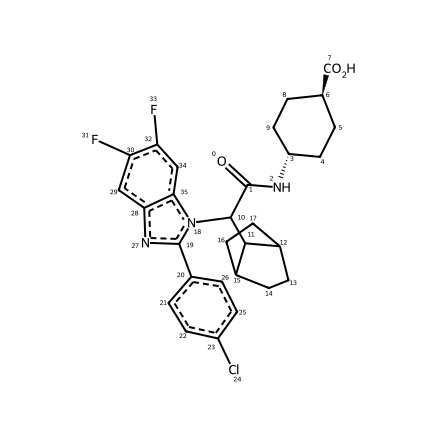 O=C(N[C@H]1CC[C@H](C(=O)O)CC1)C(C1C2CCC1CC2)n1c(-c2ccc(Cl)cc2)nc2cc(F)c(F)cc21